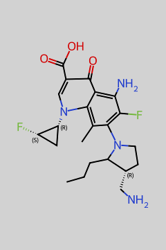 CCCC1[C@@H](CN)CCN1c1c(F)c(N)c2c(=O)c(C(=O)O)cn([C@@H]3C[C@@H]3F)c2c1C